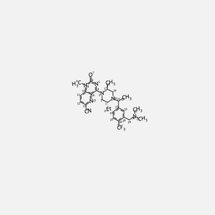 CC[C@@H]1CN(c2nc(=O)n(C)c3ccc(C#N)nc23)[C@@H](C)CN1C(C)c1ccc(C(F)(F)F)c(CN(C)C)c1